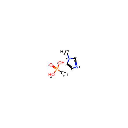 CP(=O)(O)O.Cn1ccnc1